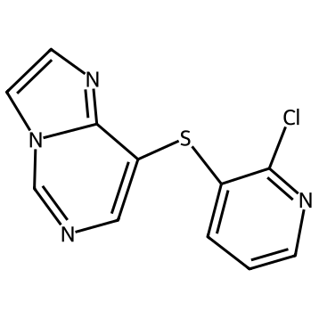 Clc1ncccc1Sc1cncn2ccnc12